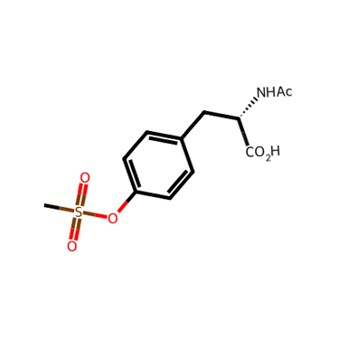 CC(=O)N[C@@H](Cc1ccc(OS(C)(=O)=O)cc1)C(=O)O